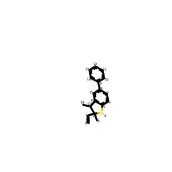 C=CC1(C)Sc2ccc(-c3ccccc3)cc2C1C